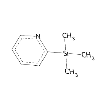 C[Si](C)(C)c1ccccn1